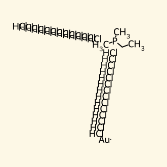 CCP(C)C.Cl.Cl.Cl.Cl.Cl.Cl.Cl.Cl.Cl.Cl.Cl.Cl.Cl.Cl.Cl.Cl.Cl.Cl.Cl.Cl.Cl.Cl.Cl.Cl.Cl.Cl.Cl.[Au]